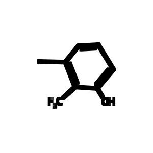 Cc1cccc(O)c1C(F)(F)F